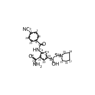 N#Cc1ccc(C(=O)Nc2sc(N(O)SN3CCCCC3)cc2C(N)=O)cc1